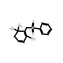 CC1=C(CS(=O)(=O)c2ccccc2)C(C)(C)CC=C1